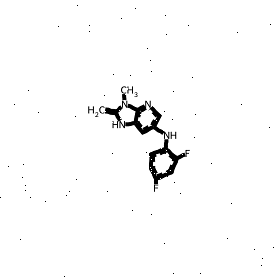 C=C1Nc2cc(Nc3ccc(F)cc3F)cnc2N1C